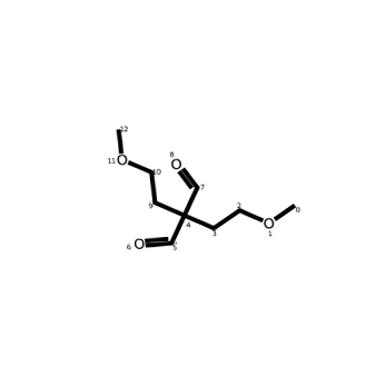 COCCC([C]=O)(C=O)CCOC